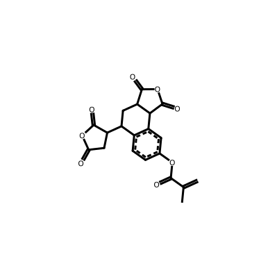 C=C(C)C(=O)Oc1ccc2c(c1)C1C(=O)OC(=O)C1CC2C1CC(=O)OC1=O